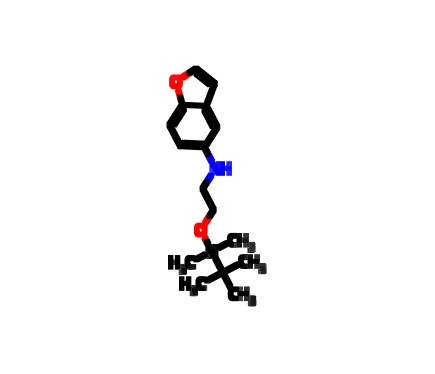 CC(C)(C)[Si](C)(C)OCCNc1ccc2occc2c1